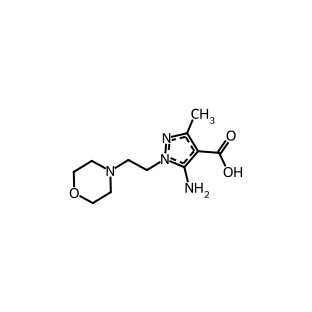 Cc1nn(CCN2CCOCC2)c(N)c1C(=O)O